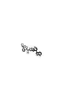 O=C(NCCc1cc2c(-c3cnn4ncccc34)ccnc2[nH]1)[C@@H]1CCCN1C(=O)CCl